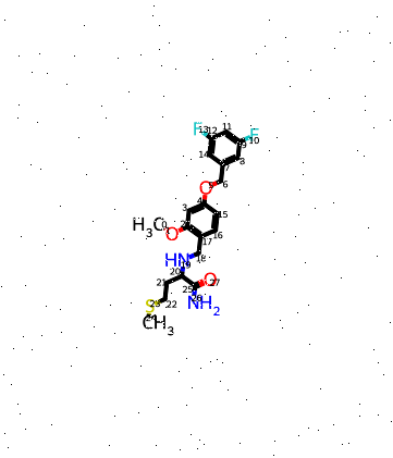 COc1cc(OCc2cc(F)cc(F)c2)ccc1CNC(CCSC)C(N)=O